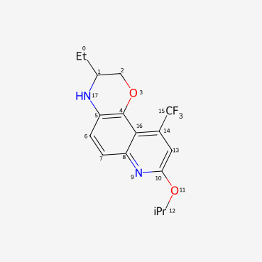 CCC1COc2c(ccc3nc(OC(C)C)cc(C(F)(F)F)c23)N1